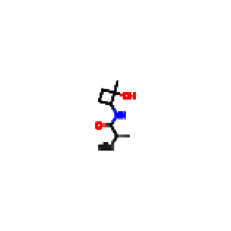 CCCCC(C)C(=O)NC1CCC1(C)O